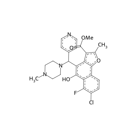 COC(=O)c1c(C)oc2c1c(C(c1ccncc1)N1CCN(C)CC1)c(O)c1c(F)c(Cl)ccc12